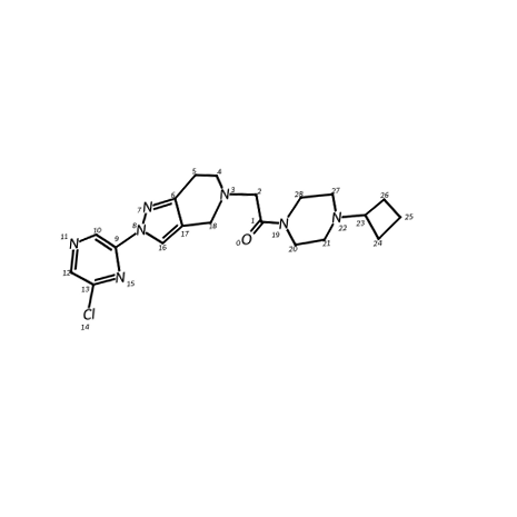 O=C(CN1CCc2nn(-c3cncc(Cl)n3)cc2C1)N1CCN(C2CCC2)CC1